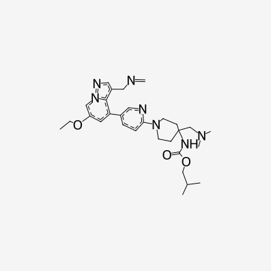 C=NCc1cnn2cc(OCC)cc(-c3ccc(N4CCC(CN(C)C)(NC(=O)OCC(C)C)CC4)nc3)c12